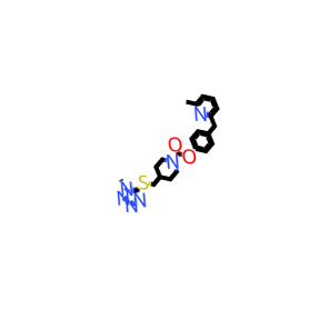 Cc1cccc(Cc2ccc(OC(=O)N3CCC(CSc4nnnn4C)CC3)cc2)n1